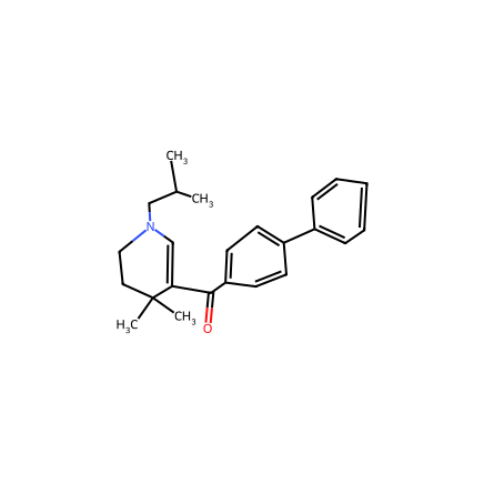 CC(C)CN1C=C(C(=O)c2ccc(-c3ccccc3)cc2)C(C)(C)CC1